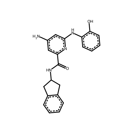 Nc1cc(Nc2ccccc2O)nc(C(=O)NC2Cc3ccccc3C2)c1